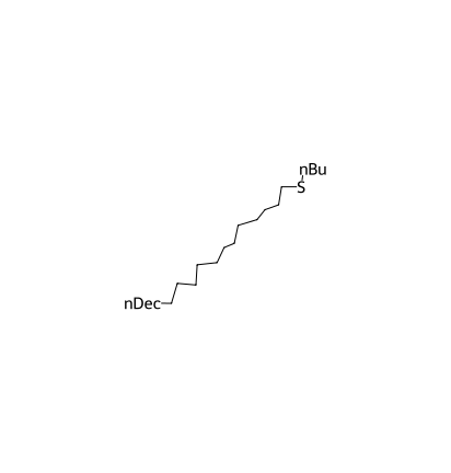 [CH2]CCCSCCCCCCCCCCCCCCCCCCCCCC